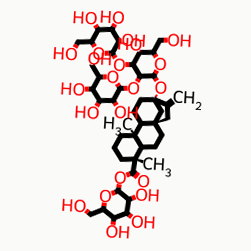 C=C1C[C@@]23CCC4[C@@](C)(CCC[C@@]4(C)C(=O)OC4OC(CO)C(O)C(O)C4O)C2CC[C@]1(OC1OC(CO)C(O)C(OC2OC(CO)C(O)C(O)C2O)C1OC1OC(CO)C(O)C(O)C1O)C3